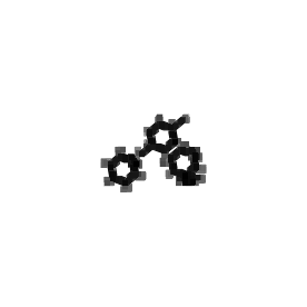 Br.Cc1ccc(C)cc1.c1ccncc1.c1ccncc1